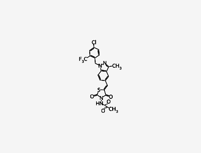 Cc1nn(Cc2ccc(Cl)cc2C(F)(F)F)c2ccc(/C=C3\SC(=O)N(NS(C)(=O)=O)C3=O)cc12